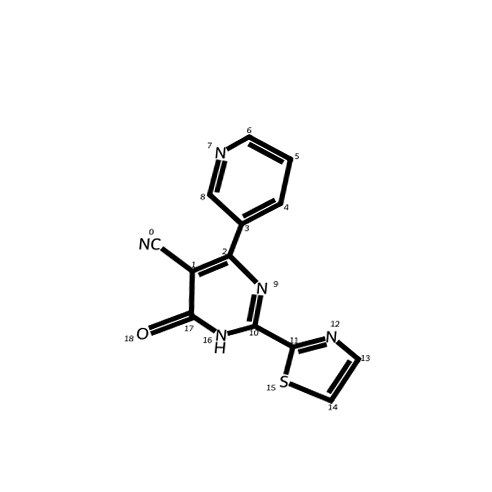 N#Cc1c(-c2cccnc2)nc(-c2nccs2)[nH]c1=O